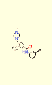 C#Cc1cccc(NC(=O)c2ccc(CN3CCN(C)CC3)c(C(F)(F)F)c2)c1